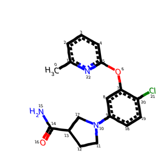 Cc1cccc(Oc2cc(N3CCC(C(N)=O)C3)ccc2Cl)n1